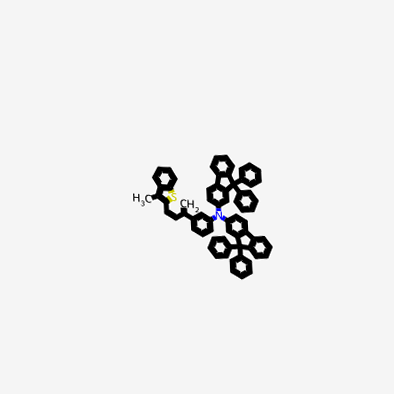 C=C(/C=C\c1sc2ccccc2c1C)c1cccc(N(c2ccc3c(c2)C(c2ccccc2)(c2ccccc2)c2ccccc2-3)c2ccc3c(c2)C(c2ccccc2)(c2ccccc2)c2ccccc2-3)c1